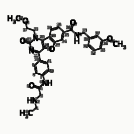 CCNCC(=O)Nc1ccc(-c2nc(=O)n(CCOC)c3c2oc2cc(C(=O)NCc4cccc(OC)c4)ccc23)cc1